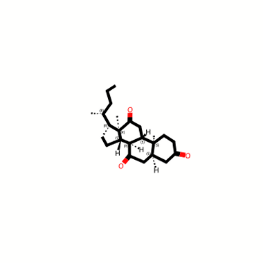 CCC[C@@H](C)[C@H]1CC[C@H]2[C@@H]3C(=O)C[C@@H]4CC(=O)CC[C@]4(C)[C@H]3CC(=O)[C@]12C